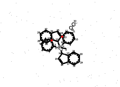 [CH3][Hf+2]([c]1ccccc1)([c]1ccccc1)([CH]1C=Cc2ccccc21)[CH]1C=Cc2ccccc21.[Cl-].[Cl-]